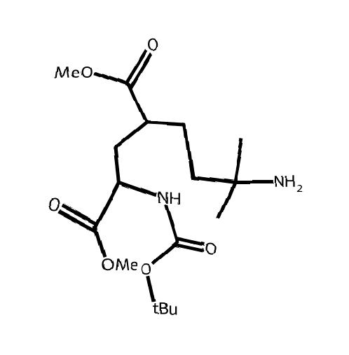 COC(=O)C(CCC(C)(C)N)CC(NC(=O)OC(C)(C)C)C(=O)OC